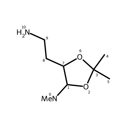 CNC1OC(C)(C)OC1CCN